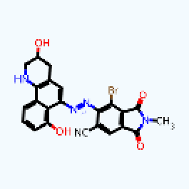 CN1C(=O)c2cc(C#N)c(/N=N/c3cc4c(c5cccc(O)c35)NCC(O)C4)c(Br)c2C1=O